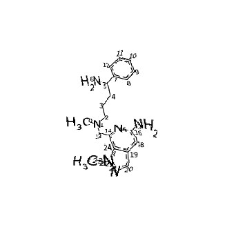 CN(CCCC(N)c1ccccc1)Cc1nc(N)cc2cnn(C)c12